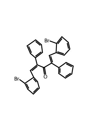 O=C(C(=Cc1ccccc1Br)c1ccccc1)C(=Cc1ccccc1Br)c1ccccc1